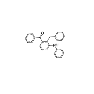 O=C(c1ccccc1)c1cccc(Nc2ccccc2)c1Cc1ccccc1